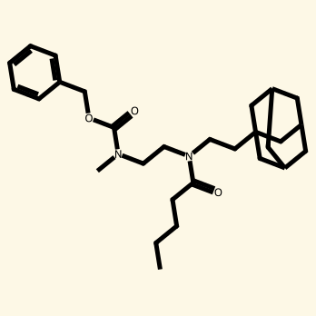 CCCCC(=O)N(CCN(C)C(=O)OCc1ccccc1)CCC12CC3CC(CC(C3)C1)C2